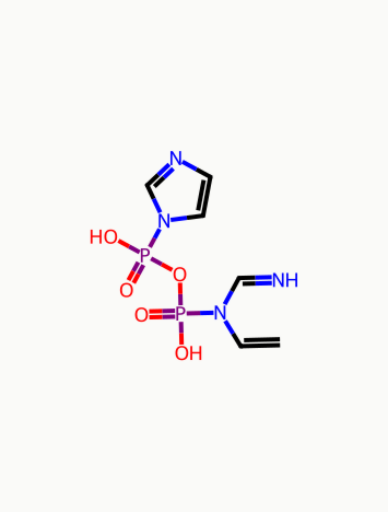 C=CN(C=N)P(=O)(O)OP(=O)(O)n1ccnc1